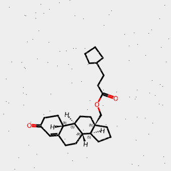 O=C1C=C2CC[C@@H]3[C@H](CC[C@]4(COC(=O)CCC5CCCC5)CCC[C@@H]34)[C@H]2CC1